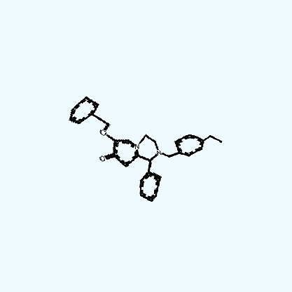 CCc1ccc(CN2CCn3cc(OCc4ccccc4)c(=O)cc3C2c2ccccc2)cc1